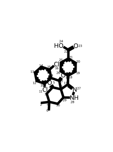 CC1(C)CC(=O)C2(C(=O)c3c(Cl)cccc3Cl)C(c3ccc(C(=O)O)cc3)=NNC2C1